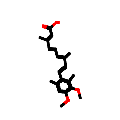 COc1cc(C)c(C=CC(C)=CC=CC(C)=CC(=O)O)c(C)c1OC